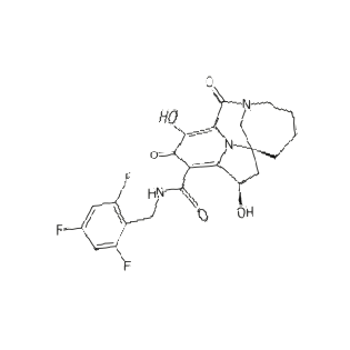 O=C(NCc1c(F)cc(F)cc1F)c1c2n3c(c(O)c1=O)C(=O)N1CCCC[C@]3(C[C@H]2O)C1